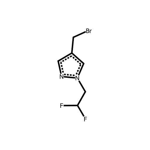 FC(F)Cn1cc(CBr)cn1